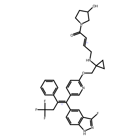 O=C(/C=C/CNC1(COc2ccc(/C(=C(/CC(F)(F)F)c3ccccc3)c3ccc4[nH]nc(F)c4c3)cn2)CC1)N1CCC(O)C1